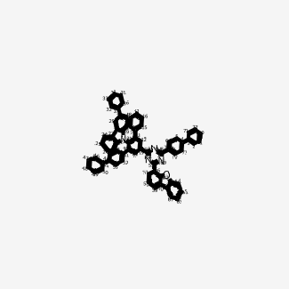 c1ccc(-c2ccc(-c3nc(-c4cc(-c5ccccc5)c(-n5c6ccccc6c6cc(-c7ccccc7)ccc65)c(-c5ccc(-c6ccccc6)cc5)c4)nc(-c4cccc5c4oc4ccccc45)n3)cc2)cc1